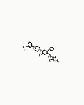 NC(=S)NN=Cc1cc(F)c(N2CCN(c3cccc(C(F)(F)F)c3)CC2)cc1N1CCCC1